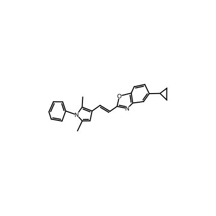 Cc1cc(/C=C/c2nc3cc(C4CC4)ccc3o2)c(C)n1-c1ccccc1